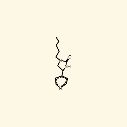 CCCCCN1CC(c2ccncc2)NC1=O